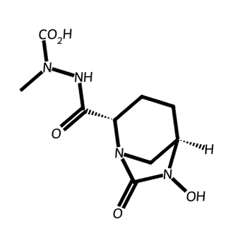 CN(NC(=O)[C@@H]1CC[C@@H]2CN1C(=O)N2O)C(=O)O